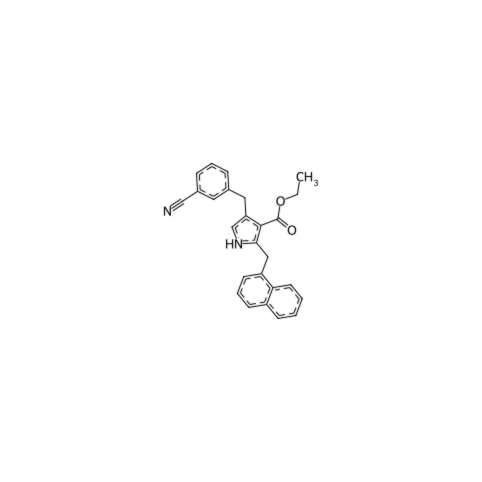 CCOC(=O)c1c(Cc2cccc(C#N)c2)c[nH]c1Cc1cccc2ccccc12